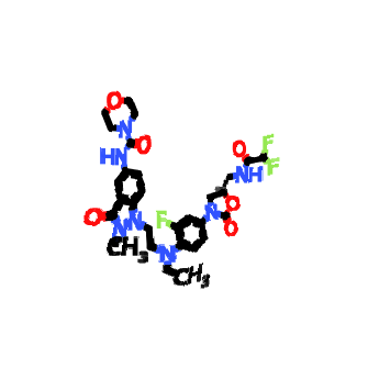 CCN(CCn1c2ccc(NC(=O)N3CCOCC3)cc2c(=O)n1C)c1ccc(N2C[C@H](CNC(=O)C(F)F)OC2=O)cc1F